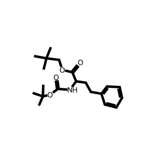 CC(C)(C)COC(=O)C(CCc1ccccc1)NC(=O)OC(C)(C)C